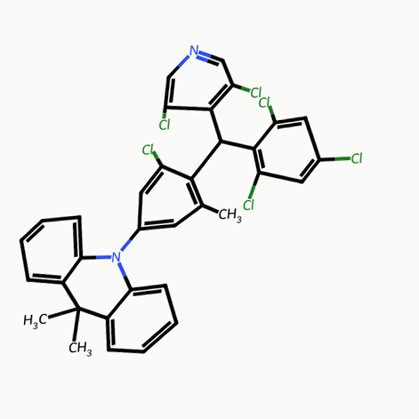 Cc1cc(N2c3ccccc3C(C)(C)c3ccccc32)cc(Cl)c1C(c1c(Cl)cncc1Cl)c1c(Cl)cc(Cl)cc1Cl